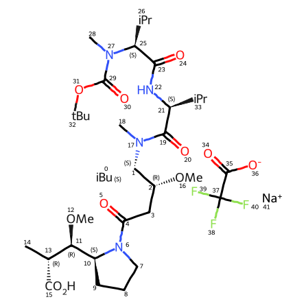 CC[C@H](C)[C@@H]([C@@H](CC(=O)N1CCC[C@H]1[C@H](OC)[C@@H](C)C(=O)O)OC)N(C)C(=O)[C@@H](NC(=O)[C@H](C(C)C)N(C)C(=O)OC(C)(C)C)C(C)C.O=C([O-])C(F)(F)F.[Na+]